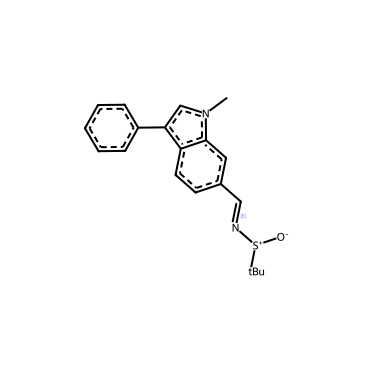 Cn1cc(-c2ccccc2)c2ccc(/C=N/[S+]([O-])C(C)(C)C)cc21